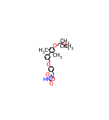 COC(C)(C)CCOc1cc(C)c(-c2cccc(COc3ccc(Cn4oc(=O)[nH]c4=O)cc3)c2)c(C)c1